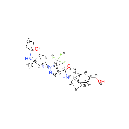 CCC(=O)NC(C)(C)/C=C/n1ncc(C(=O)N[C@H]2C3CC4CC2C[C@](CO)(C4)C3)c1C(F)(F)F